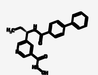 CC[C@H](NC(=O)c1ccc(-c2ccccc2)cc1)c1cncc(C(=O)NO)c1